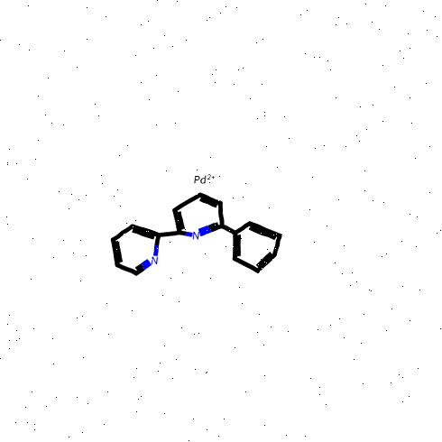 [Pd+2].c1ccc(-c2cccc(-c3ccccn3)n2)cc1